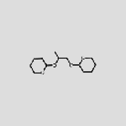 CC(COC1CCCCO1)OC1CCCCO1